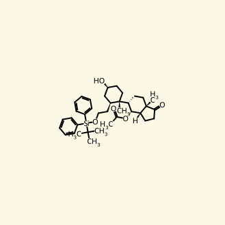 CC(=O)O[C@@H]1[C@H]([C@@]2(C)CC[C@H](O)C[C@@H]2CCO[Si](c2ccccc2)(c2ccccc2)C(C)(C)C)CC[C@]2(C)C(=O)CC[C@H]12